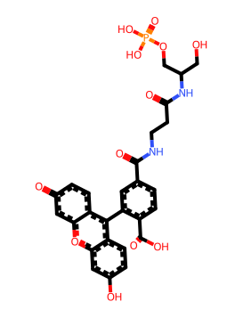 O=C(CCNC(=O)c1ccc(C(=O)O)c(-c2c3ccc(=O)cc-3oc3cc(O)ccc23)c1)NC(CO)COP(=O)(O)O